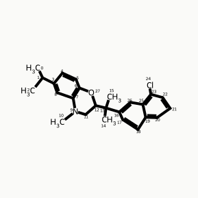 CC(C)c1ccc2c(c1)N(C)CC(C(C)(C)c1ccc3cccc(Cl)c3c1)O2